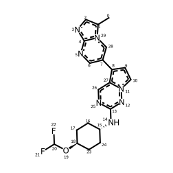 Cc1cnc2ncc(-c3ccn4nc(N[C@H]5CC[C@H](OC(F)F)CC5)ncc34)cn12